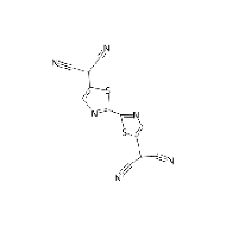 N#CC(C#N)c1cnc(-c2ncc(C(C#N)C#N)s2)s1